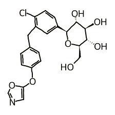 OC[C@H]1O[C@@H](c2ccc(Cl)c(Cc3ccc(Oc4cnco4)cc3)c2)[C@H](O)[C@@H](O)[C@@H]1O